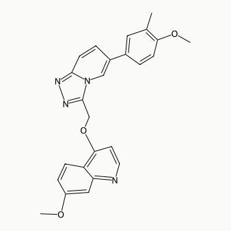 COc1ccc2c(OCc3nnc4ccc(-c5ccc(OC)c(C)c5)cn34)ccnc2c1